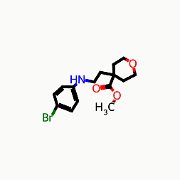 COC(=O)C1(CCNc2ccc(Br)cc2)CCOCC1